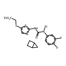 C1CC2CC12.CCOC(=O)CSc1cnc(NC(=O)N(CC)c2ccc(F)c(F)c2)s1